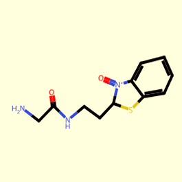 NCC(=O)NCCC1Sc2ccccc2[N+]1=O